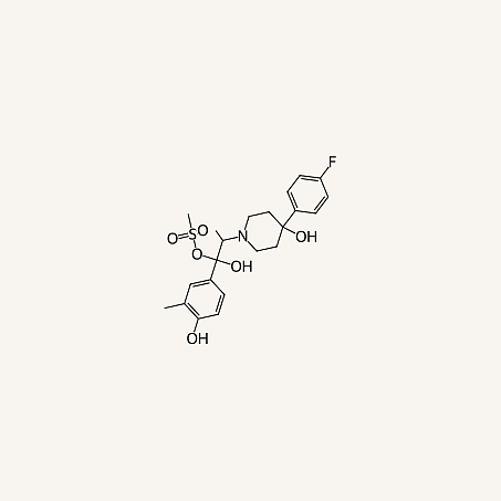 Cc1cc(C(O)(OS(C)(=O)=O)C(C)N2CCC(O)(c3ccc(F)cc3)CC2)ccc1O